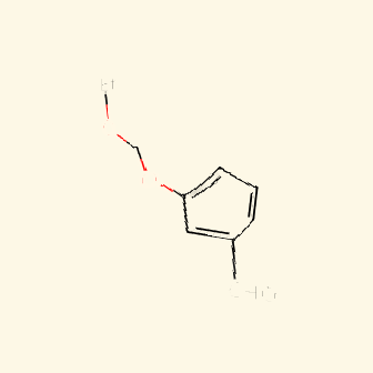 CCOCOc1cccc(C=O)c1